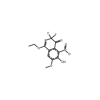 CCOC1=BC(F)(F)C(=O)c2c1cc(OC)c(O)c2[N+](=O)[O-]